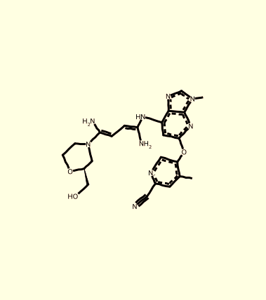 Cc1cc(C#N)ncc1Oc1cc(N/C(N)=C/C=C(\N)N2CCO[C@H](CO)C2)c2ncn(C)c2n1